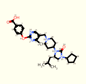 Cc1nc(Oc2ccc(C(=O)O)cc2)ncc1CN1CCC(N2C(=O)N(C3CCCC3)C[C@H]2CC(C)C)CC1